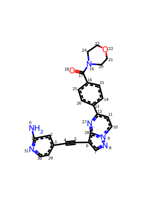 Nc1cc(C#Cc2cnn3ccc(-c4ccc(C(=O)N5CCOCC5)cc4)nc23)ccn1